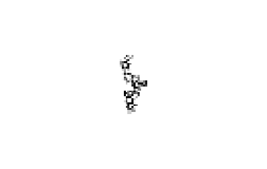 COc1ccc(OC2CCN(c3nc(C(=O)NC4CCc5ccncc5C4)nc(Cl)c3C)CC2)cn1